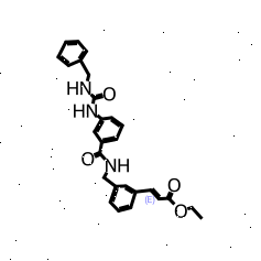 CCOC(=O)/C=C/c1cccc(CNC(=O)c2cccc(NC(=O)NCc3ccccc3)c2)c1